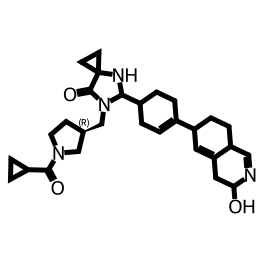 O=C(C1CC1)N1CC[C@@H](CN2C(=O)C3(CC3)NC2C2CC=C(C3C=C4CC(O)N=CC4CC3)CC2)C1